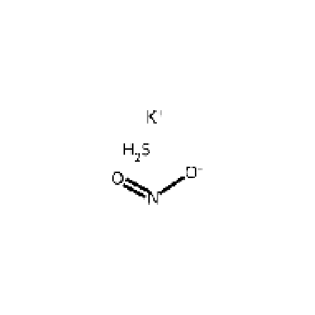 O=N[O-].S.[K+]